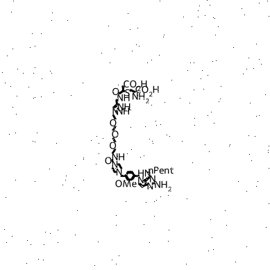 CCCCCNc1nc(N)nc2ccn(Cc3ccc(CN4CCN(C(=O)NCCOCCOCCOCCN5C=C(CNC(=O)C(CC(=O)O)SC[C@H](N)C(=O)O)NN5)CC4)cc3OC)c12